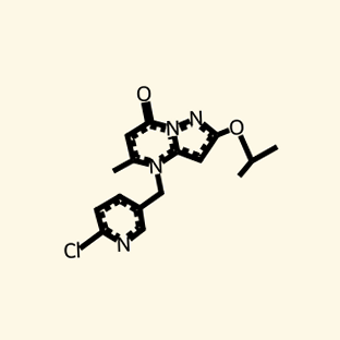 Cc1cc(=O)n2nc(OC(C)C)cc2n1Cc1ccc(Cl)nc1